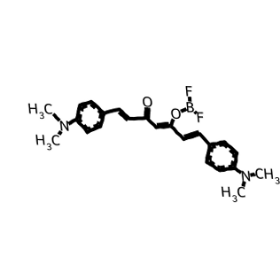 CN(C)c1ccc(/C=C/C(=O)/C=C(/C=C/c2ccc(N(C)C)cc2)OB(F)F)cc1